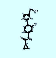 O=C(Nc1cc(Cl)c(-c2ncc(CO)s2)cn1)C1CC1